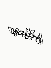 O=C(O)c1cc(Cl)c2c(c1)[C@@H]1C=CC[C@@H]1[C@H](c1ccc(S(=O)(=O)N3CCOCC3)cc1)N2